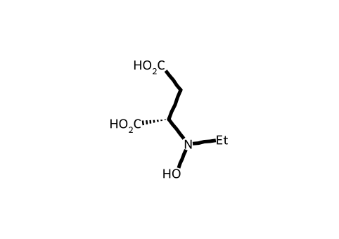 CCN(O)[C@@H](CC(=O)O)C(=O)O